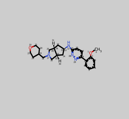 COc1ccccc1-c1ccc(N[C@H]2C[C@@H]3CN(CC4CCOCC4)C[C@@H]3C2)nn1